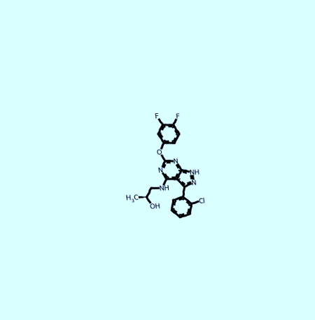 C[C@H](O)CNc1nc(Oc2ccc(F)c(F)c2)nc2[nH]nc(-c3ccccc3Cl)c12